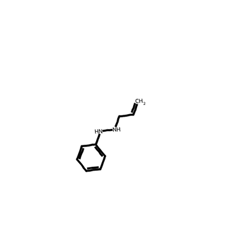 C=CCNNc1ccccc1